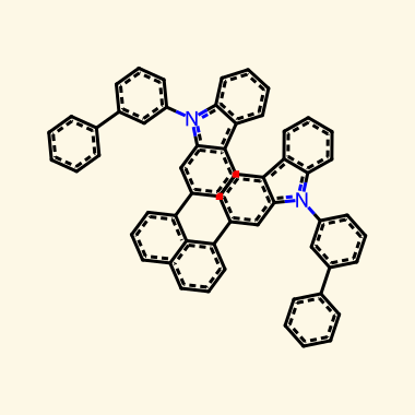 c1ccc(-c2cccc(-n3c4ccccc4c4ccc(-c5cccc6cccc(-c7ccc8c9ccccc9n(-c9cccc(-c%10ccccc%10)c9)c8c7)c56)cc43)c2)cc1